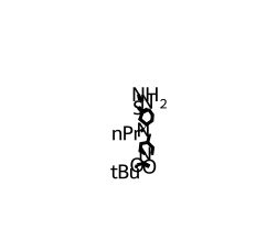 CCCN(CC1CCN(C(=O)OC(C)(C)C)CC1)[C@H]1CCc2nc(N)sc2C1